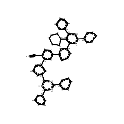 N#Cc1ccc(-c2cccc(-c3nc(-c4ccccc4)nc(-c4ccccc4)c3C3CCCCC3)c2)cc1-c1cccc(-c2nc(-c3ccccc3)nc(-c3ccccc3)n2)c1